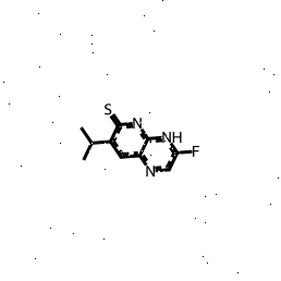 CC(C)c1cc2ncc(F)[nH]c-2nc1=S